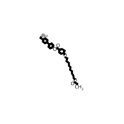 C=CC(=O)OCCCCCCCCCCCOc1ccc(C(=O)Oc2ccc(-c3ccc(CC(C)CC)cc3)cc2)cc1